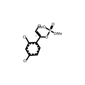 COP(=O)(OC)O/C(=C\Cl)c1ccc(Cl)cc1Cl